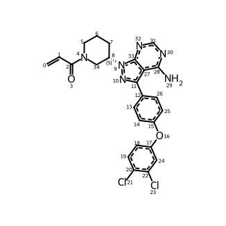 C=CC(=O)N1CCC[C@H](n2nc(-c3ccc(Oc4ccc(Cl)c(Cl)c4)cc3)c3c(N)ncnc32)C1